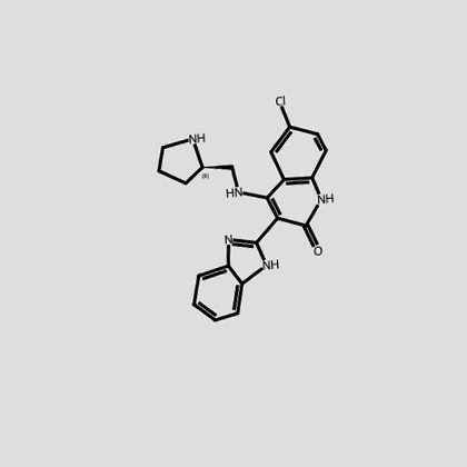 O=c1[nH]c2ccc(Cl)cc2c(NC[C@H]2CCCN2)c1-c1nc2ccccc2[nH]1